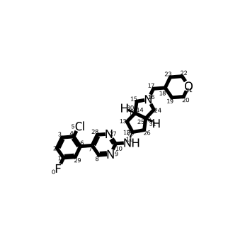 Fc1ccc(Cl)c(-c2cnc(N[C@@H]3C[C@@H]4CN(CC5CCOCC5)C[C@@H]4C3)nc2)c1